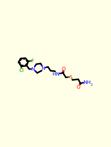 NC(=O)CCSCC(=O)NCCCN1CCN(Cc2c(F)cccc2Cl)CC1